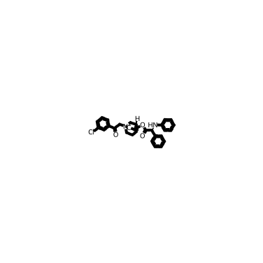 O=C(C[N+]12CCC(CC1)[C@@H](OC(=O)[C@H](Nc1ccccc1)c1ccccc1)C2)c1cccc(Cl)c1